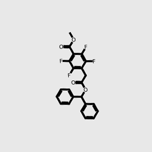 COC(=O)c1c(F)c(F)c(CC(=O)OC(c2ccccc2)c2ccccc2)c(F)c1F